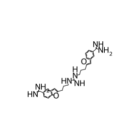 N=C(NCCCc1cc2cc(C(=N)N)ccc2o1)NCCCc1cc2cc(C(=N)N)ccc2o1